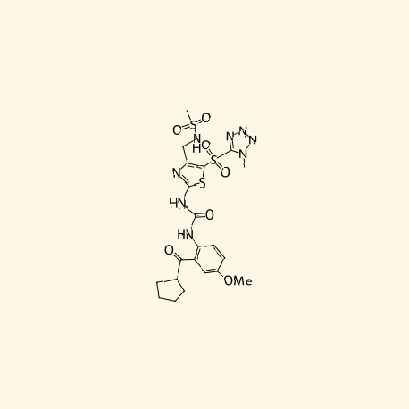 COc1ccc(NC(=O)Nc2nc(CNS(C)(=O)=O)c(S(=O)(=O)c3nnnn3C)s2)c(C(=O)C2CCCC2)c1